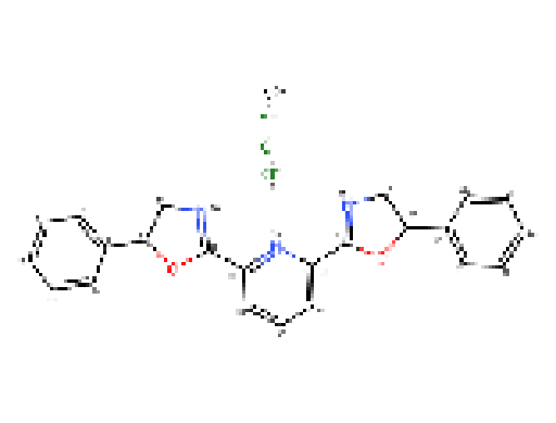 [Cl-].[Cl-].[Cl-].[V+3].c1ccc(C2CN=C(c3cccc(C4=NCC(c5ccccc5)O4)n3)O2)cc1